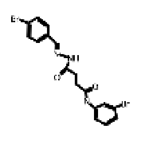 O=C(CCC(=O)Nc1cccc(Br)c1)N/N=C/c1ccc(Br)cc1